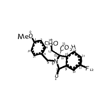 COc1ccc(CN2C(=O)c3cc(F)ccc3[C@@]2(CC=O)C(=O)O)cc1